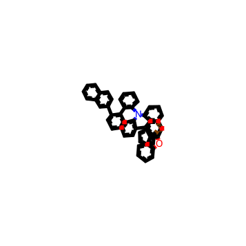 c1ccc(-c2ccccc2N(c2ccccc2-c2cccc3oc4ccccc4c23)c2cccc3sc4ccccc4c23)c(-c2ccc3ccccc3c2)c1